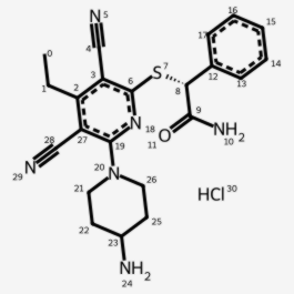 CCc1c(C#N)c(S[C@@H](C(N)=O)c2ccccc2)nc(N2CCC(N)CC2)c1C#N.Cl